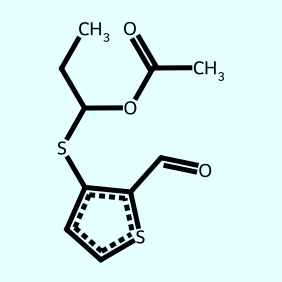 CCC(OC(C)=O)Sc1ccsc1C=O